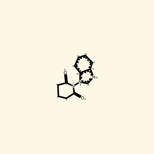 O=C1CCCC(=O)N1n1cnc2ccccc21